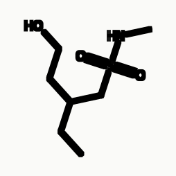 CCC(CCO)CS(=O)(=O)NC